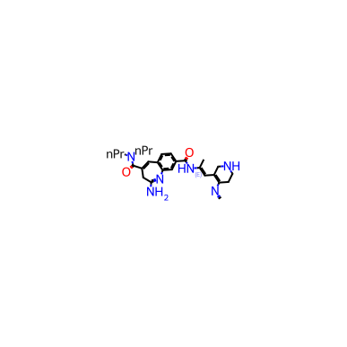 C=NC1=C(/C=C(\C)NC(=O)c2ccc3c(c2)N=C(N)CC(C(=O)N(CCC)CCC)=C3)CNCC1